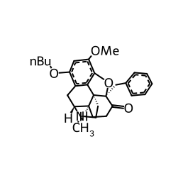 CCCCOc1cc(OC)c2c3c1C[C@@H]1[C@@H]4CCC(=O)[C@](Cc5ccccc5)(O2)[C@]34CCN1C